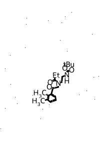 CCC(=O)N(CCNC(=O)OC(C)(C)C)CC(=O)c1cccc(C)c1C